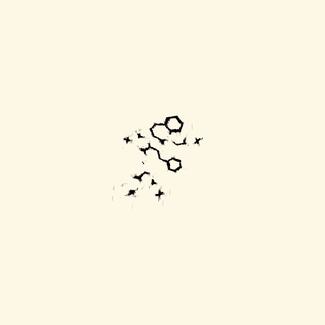 CC(C)(C)OC(=O)CN1C(=O)[C@H](N(C(=O)OC(C)(C)C)C(CCc2ccccc2)C(=O)OC[C@H](NC(=O)OC(C)(C)C)C(=O)OC(C)(C)C)CCc2ccccc21